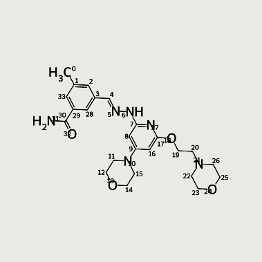 Cc1cc(C=NNc2cc(N3CCOCC3)cc(OCCN3CCOCC3)n2)cc(C(N)=O)c1